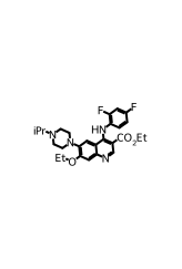 CCOC(=O)c1cnc2cc(OCC)c(N3CCN(C(C)C)CC3)cc2c1Nc1ccc(F)cc1F